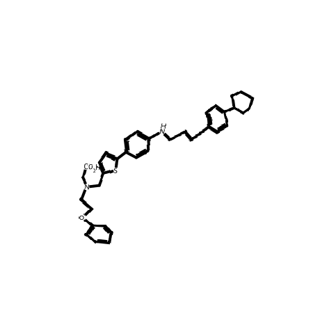 O=C(O)CN(CCOc1ccccc1)Cc1ccc(-c2ccc(NCCCc3ccc(C4CCCCC4)cc3)cc2)s1